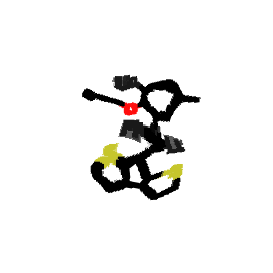 C=CCOc1c(C(C)(C)C)cc(C)cc1[Si](CC)(CC)C1=C2SCC=C2c2ccsc21